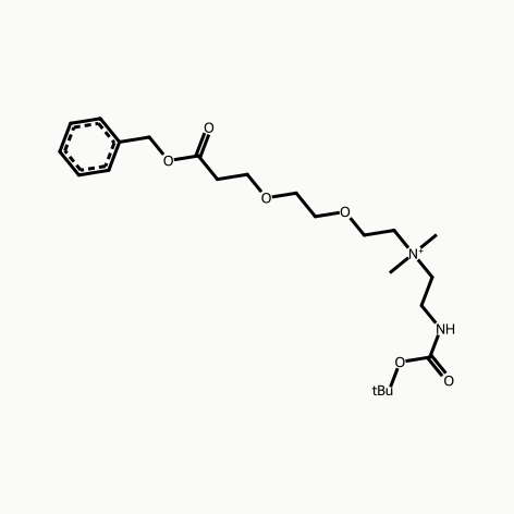 CC(C)(C)OC(=O)NCC[N+](C)(C)CCOCCOCCC(=O)OCc1ccccc1